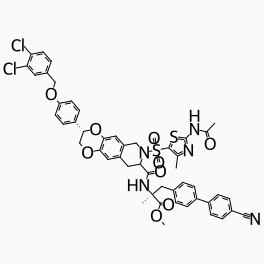 COC(=O)[C@](C)(Cc1ccc(-c2ccc(C#N)cc2)cc1)NC(=O)C1Cc2cc3c(cc2CN1S(=O)(=O)c1sc(NC(C)=O)nc1C)O[C@@H](c1ccc(OCc2ccc(Cl)c(Cl)c2)cc1)CO3